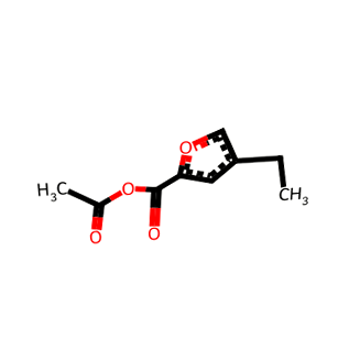 CCc1coc(C(=O)OC(C)=O)c1